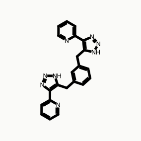 c1ccc(-c2nn[nH]c2Cc2cccc(Cc3[nH]nnc3-c3ccccn3)c2)nc1